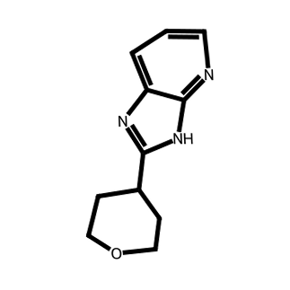 c1cnc2[nH]c(C3CCOCC3)nc2c1